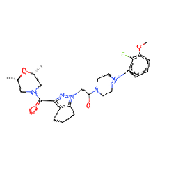 COc1cccc(N2CCN(C(=O)Cn3nc(C(=O)N4C[C@@H](C)O[C@@H](C)C4)c4c3CCC4)CC2)c1F